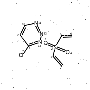 C=CS(=O)(=O)C=C.Clc1ccnnn1